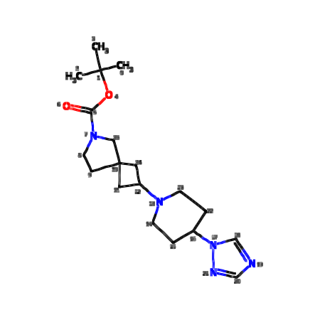 CC(C)(C)OC(=O)N1CCC2(CC(N3CCC(n4cncn4)CC3)C2)C1